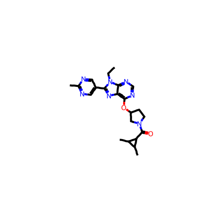 CCn1c(-c2cnc(C)nc2)nc2c(OC3CCN(C(=O)C4C(C)C4C)C3)ncnc21